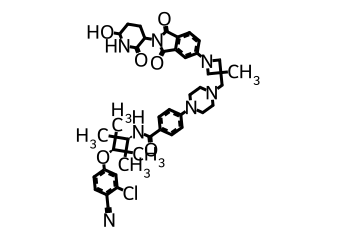 CC1(CN2CCN(c3ccc(C(=O)N[C@H]4C(C)(C)[C@H](Oc5ccc(C#N)c(Cl)c5)C4(C)C)cc3)CC2)CN(c2ccc3c(c2)C(=O)N(C2CCC(O)NC2=O)C3=O)C1